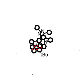 CC(C)(C)c1ccc2c(c1)c1ccccc1n2-c1c(-c2ccccc2-n2c3ccccc3c3ccccc32)cc(-c2cc(-c3ccccc3)nc(-c3ccccc3)n2)cc1-c1ccccc1-n1c2ccccc2c2ccccc21